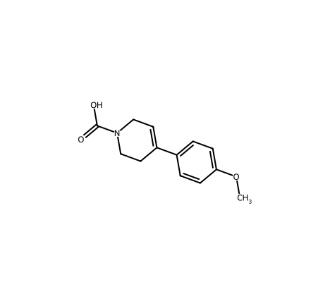 COc1ccc(C2=CCN(C(=O)O)CC2)cc1